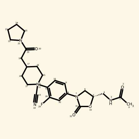 CC(=O)NC[C@H]1CN(c2ccc([N+]3(C#N)CCC(CC(=O)N4CCCC4)CC3)c(F)c2)C(=O)O1